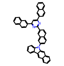 c1ccc2cc(-c3cc(-c4ccc5ccccc5c4)nc(-c4ccc5ccc(-n6c7ccccc7c7cc8ccccc8cc76)cc5c4)n3)ccc2c1